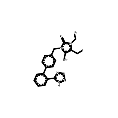 CCCc1c(CF)n(CC(C)C)c(=O)n1Cc1ccc(-c2ccccc2-c2nnn[nH]2)cc1